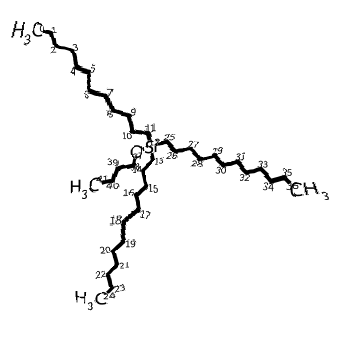 CCCCCCCCCCCC[Si](CCCCCCCCCCCC)(CCCCCCCCCCCC)OCCCC